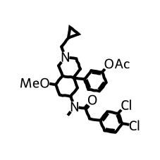 COC1CC(N(C)C(=O)Cc2ccc(Cl)c(Cl)c2)CC2(c3cccc(OC(C)=O)c3)CCN(CC3CC3)CC12